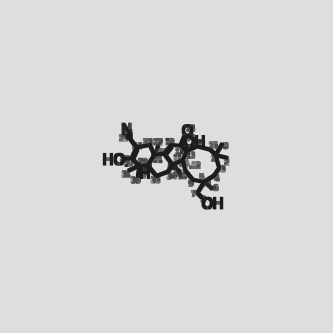 CC1(C)CC[C@](C)(CO)CC[C@]2(C)[C@@](O)(CC1)C(=O)C=C1[C@@]3(C)CC(C#N)=C(O)C(C)(C)[C@@H]3CC[C@]12C